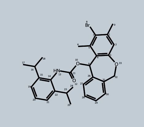 Cc1cc2c(c(C)c1Br)C(OC(=O)Nc1c(C(C)C)cccc1C(C)C)c1ccccc1CO2